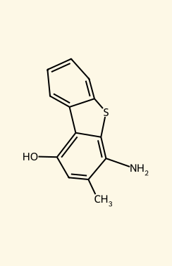 Cc1cc(O)c2c(sc3ccccc32)c1N